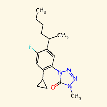 CCCCC(C)c1cc(-n2nnn(C)c2=O)c(C2CC2)cc1F